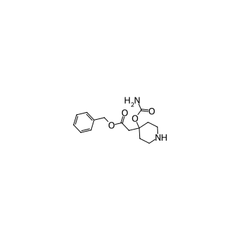 NC(=O)OC1(CC(=O)OCc2ccccc2)CCNCC1